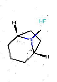 CN1[C@@H]2CCC[C@H]1CC2.F